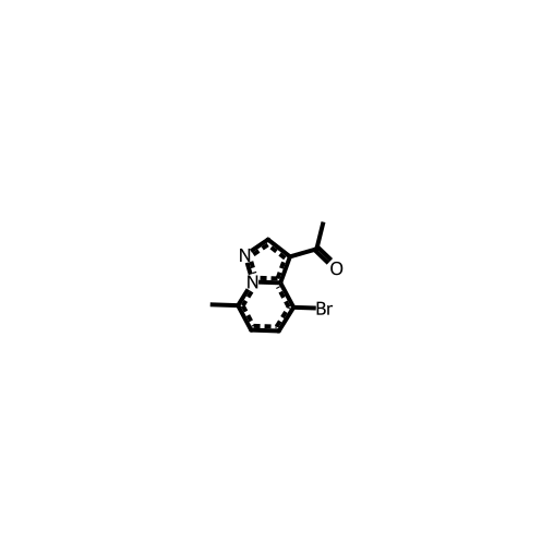 CC(=O)c1cnn2c(C)ccc(Br)c12